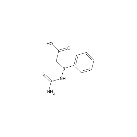 NC(=S)NN(CC(=O)O)c1ccccc1